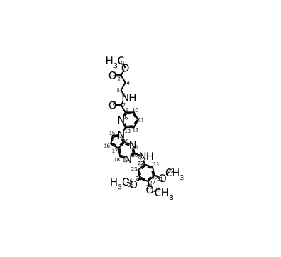 COC(=O)CCNC(=O)c1cccc(-n2ccc3cnc(Nc4cc(OC)c(OC)c(OC)c4)nc32)n1